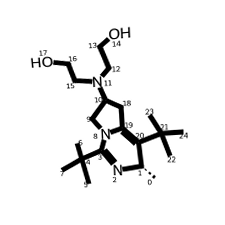 C[C@@H]1N=C(C(C)(C)C)N2CC(N(CCO)CCO)CC2=C1C(C)(C)C